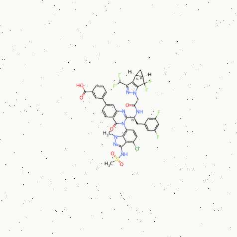 Cn1nc(NS(C)(=O)=O)c2c(Cl)ccc(-n3c([C@H](Cc4cc(F)cc(F)c4)NC(=O)Cn4nc(C(F)F)c5c4C(F)(F)[C@@H]4C[C@H]54)nc4cc(-c5cccc(C(=O)O)c5)ccc4c3=O)c21